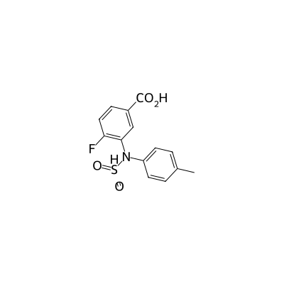 Cc1ccc(N(c2cc(C(=O)O)ccc2F)[SH](=O)=O)cc1